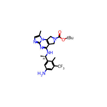 Cc1c([C@@H](C)Nc2nc3ncc(C)n3c3c2CN(C(=O)OC(C)(C)C)C3)cc(N)cc1C(F)(F)F